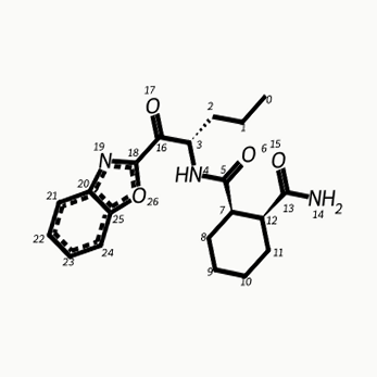 CCC[C@H](NC(=O)[C@@H]1CCCC[C@@H]1C(N)=O)C(=O)c1nc2ccccc2o1